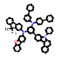 CC1(C)c2ccccc2-c2ccc(N(c3cc(-c4ccc5c6c7ccccc7ccc6n(-c6ccccc6)c5c4)cc(N(c4ccc(-c5ccccc5)cc4)c4cccc(-c5ccccc5)c4)c3)c3ccc4c(c3)oc3ccccc34)cc21